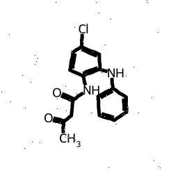 CC(=O)CC(=O)Nc1ccc(Cl)cc1Nc1ccccc1